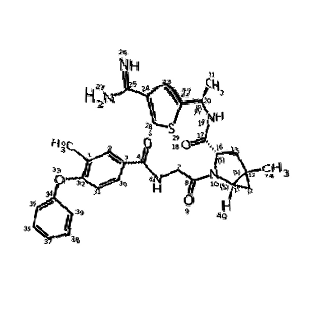 Cc1cc(C(=O)NCC(=O)N2[C@H]3C[C@@]3(C)C[C@H]2C(=O)N[C@H](C)c2cc(C(=N)N)cs2)ccc1Oc1ccccc1